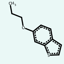 CCCOc1ccc2ccsc2c1